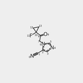 N#Cc1cncn1CC(=O)C1(F)CC1